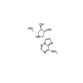 Nc1ncnn2c([C@@H]3N[C@H](CO)[C@@H](O)[C@H]3O)cnc12